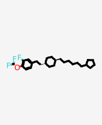 Fc1cc(CC[C@H]2CC[C@H](CCCCCCC3CCCC3)CC2)ccc1OC(F)F